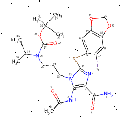 CC(=O)Nc1c(C(N)=O)nc(Sc2cc3c(cc2I)OCO3)n1CCCN(C(=O)OC(C)(C)C)C(C)C